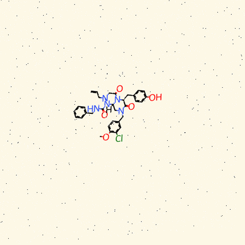 C=CCN1CC(=O)N2[C@@H](Cc3ccc(O)cc3)C(=O)N(Cc3ccc(OC)c(Cl)c3)C[C@@H]2N1C(=O)NCc1ccccc1